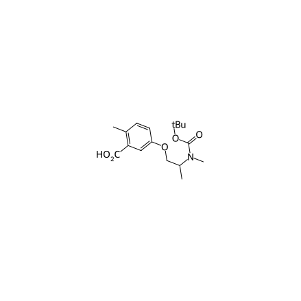 Cc1ccc(OCC(C)N(C)C(=O)OC(C)(C)C)cc1C(=O)O